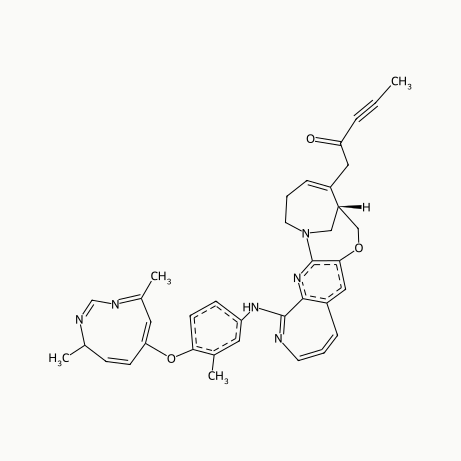 CC#CC(=O)CC1=CCCN2C[C@H]1COc1cc3c(nc12)C(Nc1ccc(OC2=C/C(C)=N/C=N\C(C)/C=C\2)c(C)c1)=NC=C=C3